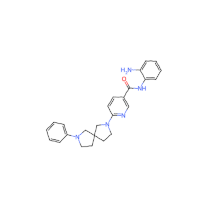 Nc1ccccc1NC(=O)c1ccc(N2CCC3(CCN(c4ccccc4)C3)C2)nc1